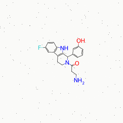 NCCC(=O)N1CCc2c([nH]c3ccc(F)cc23)C1c1cccc(O)c1